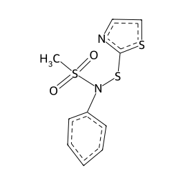 CS(=O)(=O)N(Sc1nccs1)c1ccccc1